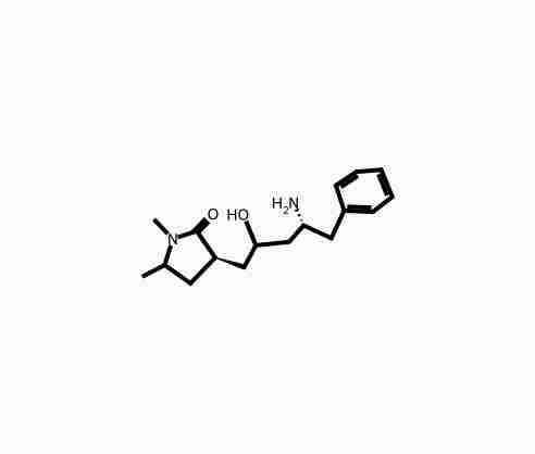 CC1C[C@H](CC(O)C[C@H](N)Cc2ccccc2)C(=O)N1C